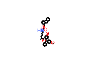 COc1ccc(C(OCC(C)CCCCNC(=O)OCc2cccc3c2Cc2ccccc2-3)(c2ccccc2)c2ccc(OC)cc2)cc1